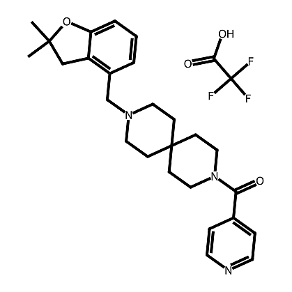 CC1(C)Cc2c(CN3CCC4(CC3)CCN(C(=O)c3ccncc3)CC4)cccc2O1.O=C(O)C(F)(F)F